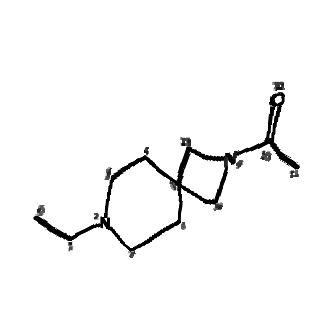 CCN1CCC2(CC1)CN(C(C)=O)C2